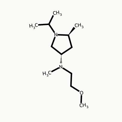 COCCN(C)[C@H]1C[C@H](C)N(C(C)C)C1